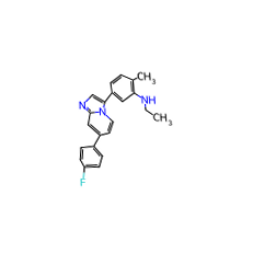 CCNc1cc(-c2cnc3cc(-c4ccc(F)cc4)ccn23)ccc1C